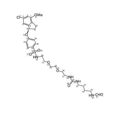 COc1cc(Cl)cc2c1CC[C@H]2Oc1ccc(S(=O)(=O)NCCOCCOCCNC(=O)NCCCCNC=O)cc1